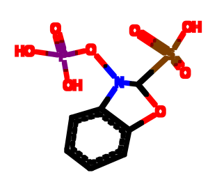 O=P(O)(O)ON1c2ccccc2OC1S(=O)(=O)O